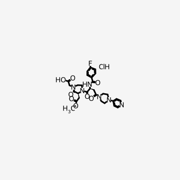 COC(=O)C[C@H]1C(=O)N(CC(=O)O)CCN1C(=O)[C@H](CC(=O)N1CCN(c2ccncc2)CC1)NC(=O)c1ccc(F)cc1.Cl